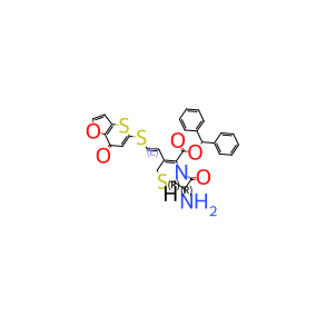 N[C@@H]1C(=O)N2C(C(=O)OC(c3ccccc3)c3ccccc3)=C(/C=C/Sc3cc(=O)c4occc4s3)CS[C@H]12